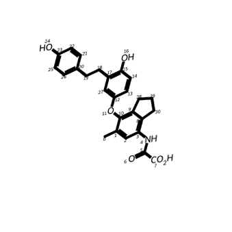 Cc1cc(NC(=O)C(=O)O)c2c(c1Oc1ccc(O)c(CCc3ccc(O)cc3)c1)CCC2